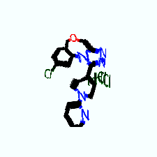 Cl.Cl.Clc1ccc2c(c1)-n1c(nnc1C1CCN(c3ccccn3)CC1)COC2